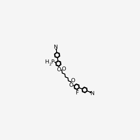 N#Cc1ccc(-c2ccc(OC(=O)CCCCCC(=O)Oc3ccc(-c4ccc(C#N)cc4)c(P)c3)cc2F)cc1